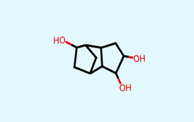 OC1CC2C3CC(CC3O)C2C1O